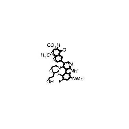 CNc1cc(F)c(F)c2c1[nH]c1ncc(-c3cnc4c(c3)c(=O)c(C(=O)O)cn4C)c(N3CCOC(CCO)C3)c12